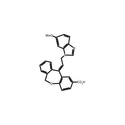 COc1ccc2ncn(C/C=C3\c4ccccc4COc4ccc(C(=O)O)cc43)c2c1